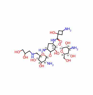 NC1CC(O)(C(=O)N[C@@H]2C[C@H](N)C(O[C@H]3O[C@H](CNCC(O)CO)[C@@H](O)[C@H](O)[C@H]3N)[C@H](O)[C@H]2O[C@H]2O[C@H](CO)[C@@H](O)[C@H](N)[C@H]2O)C1